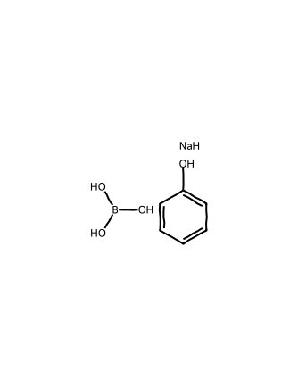 OB(O)O.Oc1ccccc1.[NaH]